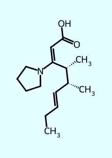 CCC=C[C@@H](C)[C@@H](C)C(=CC(=O)O)N1CCCC1